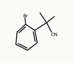 CC(C)(C#N)c1ccccc1Br